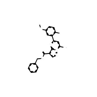 COc1ccc(Br)c(-c2cc(O)n3ncc(C(=O)NCc4ccccc4)c3n2)c1